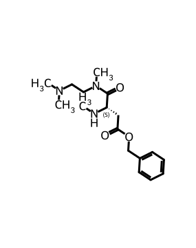 CN[C@@H](CC(=O)OCc1ccccc1)C(=O)N(C)CCN(C)C